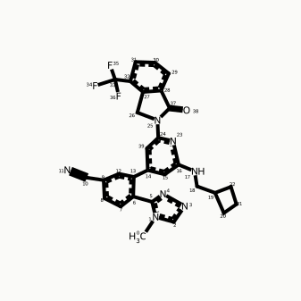 Cn1cnnc1-c1ccc(C#N)cc1-c1cc(NCC2CCC2)nc(N2Cc3c(cccc3C(F)(F)F)C2=O)c1